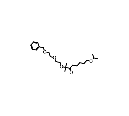 CC(C)OCCCCCC(=O)C(C)(C)OCCOCCOCc1ccccc1